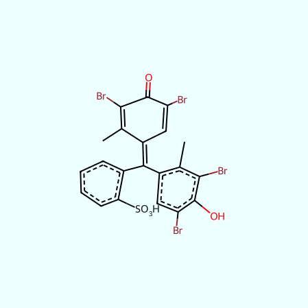 CC1=C(Br)C(=O)C(Br)=C/C1=C(/c1ccccc1S(=O)(=O)O)c1cc(Br)c(O)c(Br)c1C